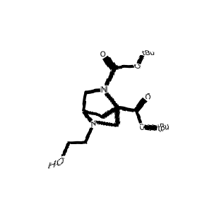 CC(C)(C)OC(=O)N1CC2CC1(C(=O)OC(C)(C)C)CN2CCO